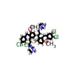 COc1ccc(Sc2ccc(OC)c(Cc3ccc(Cl)c(Cl)c3)c2CCCn2ccnc2)c(CCCn2ccnc2)c1Cc1ccc(Cl)c(Cl)c1